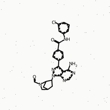 Nc1ncnc2c1c(-c1ccc(C(=O)Nc3cccc(Cl)c3)cc1)nn2C1CC2CC1N(C=O)C2